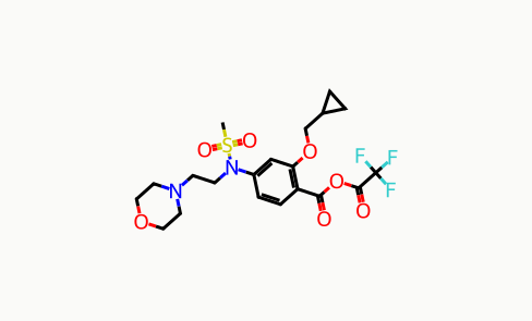 CS(=O)(=O)N(CCN1CCOCC1)c1ccc(C(=O)OC(=O)C(F)(F)F)c(OCC2CC2)c1